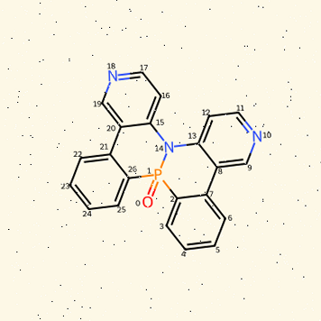 O=P12c3ccccc3-c3cnccc3N1c1ccncc1-c1ccccc12